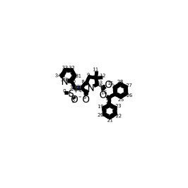 C[S+]([O-])/C(=C1\C(=O)N2C1CC(C)(C)[C@@H]2C(=O)OC(c1ccccc1)c1ccccc1)c1ccccn1